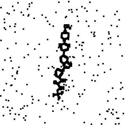 CN1CCN(c2ncc(-c3ccn4c(-c5cccc(NC(=O)NCC(F)(F)F)c5)cnc4c3)cn2)CC1